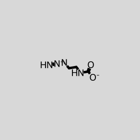 N=[N+]=NCCNC(=O)[O-]